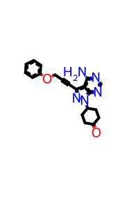 Nc1ncnc2c1c(C#CCOc1ccccc1)nn2C1CCC(=O)CC1